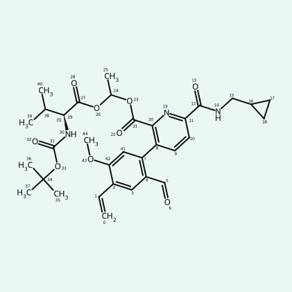 C=Cc1cc(C=O)c(-c2ccc(C(=O)NCC3CC3)nc2C(=O)OC(C)OC(=O)[C@@H](NC(=O)OC(C)(C)C)C(C)C)cc1OC